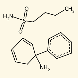 CCCCS(N)(=O)=O.NC1(c2ccccc2)C=CC=CC1